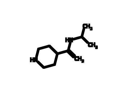 C=C(NC(C)C)C1CCNCC1